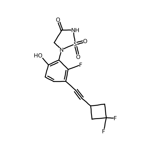 O=C1CN(c2c(O)ccc(C#CC3CC(F)(F)C3)c2F)S(=O)(=O)N1